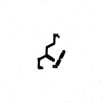 CC(C)(C)OC(=O)CCN.N=C=O